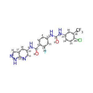 O=C(Nc1ccc(C(=O)Nc2cnc3[nH]ncc3c2)c(F)c1)Nc1ccc(Cl)c(C(F)(F)F)c1